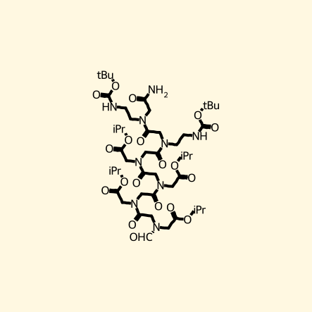 CC(C)OC(=O)CN(C=O)CC(=O)N(CC(=O)OC(C)C)CC(=O)N(CC(=O)OC(C)C)CC(=O)N(CC(=O)OC(C)C)CC(=O)N(CCNC(=O)OC(C)(C)C)CC(=O)N(CCNC(=O)OC(C)(C)C)CC(N)=O